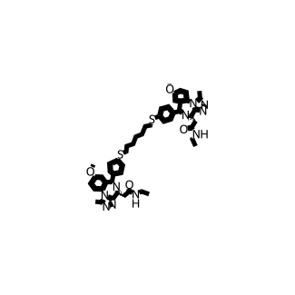 CCNC(=O)C[C@@H]1N=C(c2ccc(SCCCCCCCSc3ccc(C4=N[C@@H](CC(=O)NCC)c5nnc(C)n5-c5ccc(OC)cc54)cc3)cc2)c2cc(OC)ccc2-n2c(C)nnc21